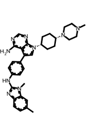 Cc1ccc2nc(Nc3ccc(-c4cn([C@H]5CC[C@@H](N6CCN(C)CC6)CC5)c5ncnc(N)c45)cc3)n(C)c2c1